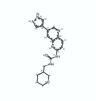 O=C(NCC1CCCOC1)Nc1ccc2ncc(-c3cn[nH]c3)cc2n1